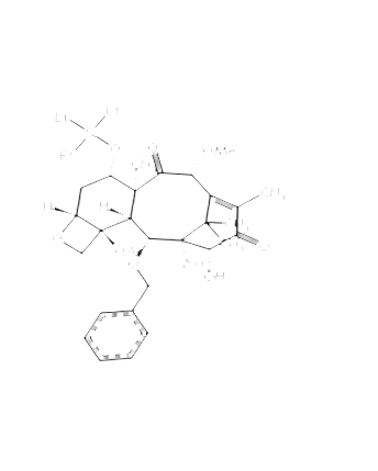 CC[Si](CC)(CC)O[C@H]1C[C@H]2OC[C@@]2(OC(C)=O)[C@H]2[C@H](OCc3ccccc3)[C@]3(O)[C@@H](O)C(=O)C(C)=C([C@@H](OC)C(=O)[C@]12C)C3(C)C